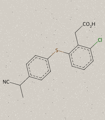 CC(C#N)c1ccc(Sc2cccc(Cl)c2CC(=O)O)cc1